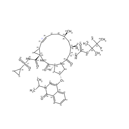 CC(C)n1nc(O[C@@H]2C[C@H]3C(=O)N[C@]4(C(=O)NS(=O)(=O)C5CC5)CC4/C=C\CC[C@@H](C)C[C@@H](C)[C@H](NC(=O)OC(C)(C)C(C)(F)F)C(=O)N3C2)c2ccccc2c1=O